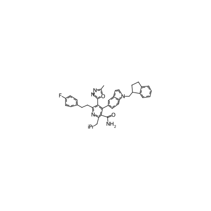 Cc1nnc(-c2c(CCc3ccc(F)cc3)nc(CC(C)C)c(C(N)=O)c2-c2ccc3c(ccn3CC3CCc4ccccc43)c2)o1